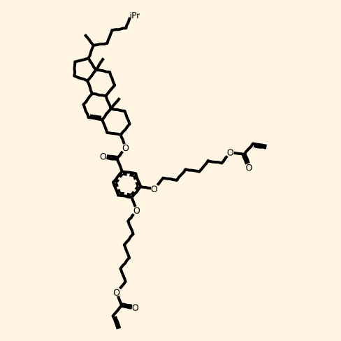 C=CC(=O)OCCCCCCOc1ccc(C(=O)OC2CCC3(C)C(=CCC4C3CCC3(C)C(C(C)CCCC(C)C)CCC43)C2)cc1OCCCCCCOC(=O)C=C